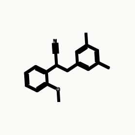 COc1ccccc1C(C#N)Cc1cc(C)cc(C)c1